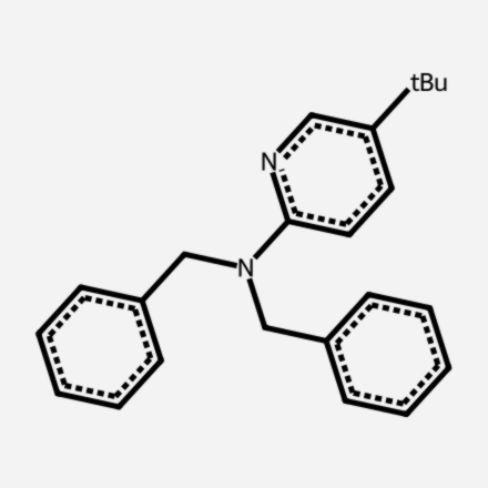 CC(C)(C)c1ccc(N(Cc2ccccc2)Cc2ccccc2)nc1